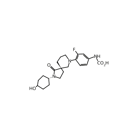 O=C(O)Nc1ccc(N2CCC[C@]3(CCN([C@H]4CC[C@H](O)CC4)C3=O)C2)c(F)c1